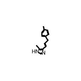 Cc1ccc(CC=Cc2nc[nH]c2C)cc1